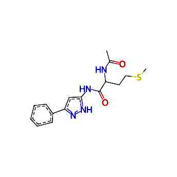 CSCCC(NC(C)=O)C(=O)Nc1cc(-c2ccccc2)n[nH]1